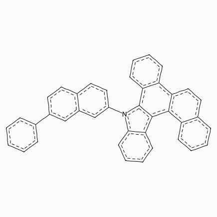 c1ccc(-c2ccc3ccc(-n4c5ccccc5c5c6c7ccccc7ccc6c6ccccc6c54)cc3c2)cc1